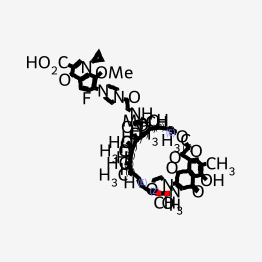 COc1c(N2CCN(C(=O)CNC(=O)O[C@H]3[C@H](C)[C@H](O)[C@H](C)[C@@H](O)[C@@H](C)/C=C/C=C(/C)C(=O)NC4=C(N5CCOCC5)C(=O)c5c(c(O)c(C)c6c5C(=O)[C@@](C)(O/C=C/[C@H](OC)[C@H]3C)O6)C4=O)CC2)c(F)cc2c(=O)c(C(=O)O)cn(C3CC3)c12